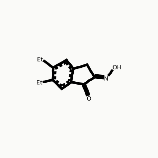 CCc1cc2c(cc1CC)C(=O)/C(=N/O)C2